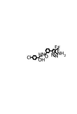 Nc1ncnn2c(-c3cccc(C(=O)NCCC(O)c4ccc(Cl)cc4)c3)cc(C(F)(F)F)c12